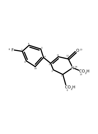 O=C(O)C1CC(c2ccc(F)cc2)=CC(=O)N1C(=O)O